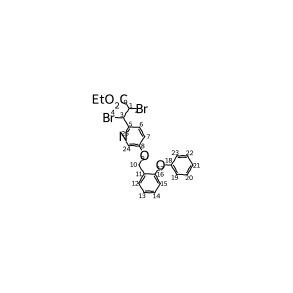 CCOC(=O)C(Br)C(Br)c1ccc(OCc2ccccc2Oc2ccccc2)cn1